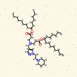 CCCCCCCCC(CCCCCC)OC(=O)CCN(CCC(=O)OC(CCCCCC)CCCCCCCC)Cc1cnn(CCN2CCCCC2)c1